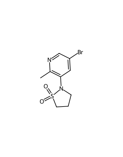 Cc1ncc(Br)cc1N1CCCS1(=O)=O